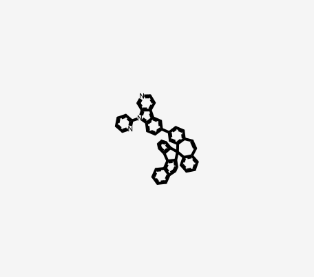 C1=Cc2ccc(-c3ccc4c(c3)c3ccncc3n4-c3ccccn3)cc2C2(c3ccccc31)c1ccccc1-c1c2ccc2ccccc12